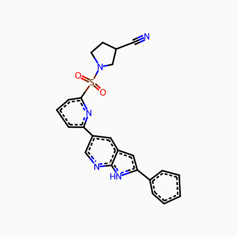 N#CC1CCN(S(=O)(=O)c2cccc(-c3cnc4[nH]c(-c5ccccc5)cc4c3)n2)C1